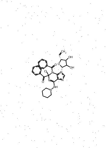 C=C[C@H]1O[C@@H](n2cnc3c2N(C(=O)c2ccccc2)C(Cl)(C(=O)c2ccccc2)N=C3NN2CCCCC2)C(O)C1O